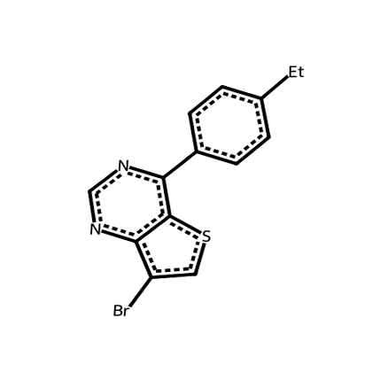 CCc1ccc(-c2ncnc3c(Br)csc23)cc1